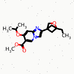 CCC12CC(c3cn4cc(C(=O)OC)c(OC(C)C)cc4n3)(CO1)C2